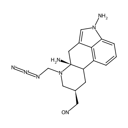 [N-]=[N+]=NCN1C[C@H](CN=O)CC2c3cccc4c3c(cn4N)C[C@]21N